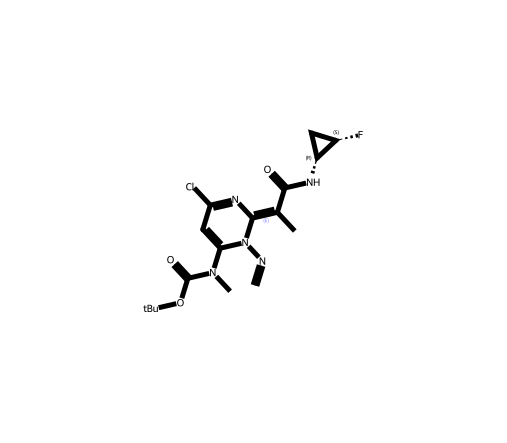 C=NN1C(N(C)C(=O)OC(C)(C)C)=CC(Cl)=N/C1=C(/C)C(=O)N[C@@H]1C[C@@H]1F